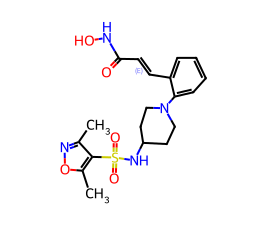 Cc1noc(C)c1S(=O)(=O)NC1CCN(c2ccccc2/C=C/C(=O)NO)CC1